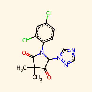 CC1(C)C(=O)C(n2cncn2)N(c2ccc(Cl)cc2Cl)C1=O